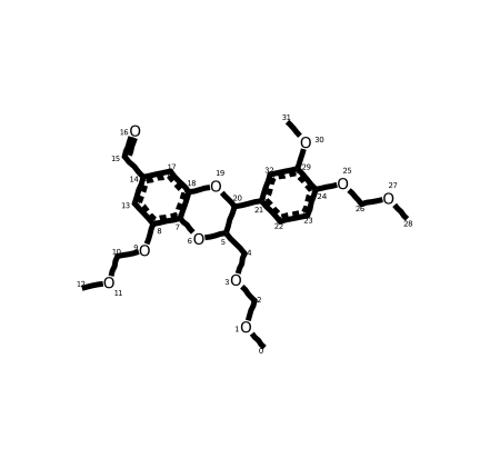 COCOCC1Oc2c(OCOC)cc(C=O)cc2OC1c1ccc(OCOC)c(OC)c1